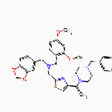 C=C(c1csc(CN(Cc2ccc3c(c2)OCO3)Cc2ccc(OC)cc2OC)n1)N1CCN(Cc2ccccc2)CC1